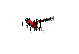 Cc1cc(C(=O)NCCOCCOCCCCCCCl)ccc1-c1c2cc/c(=[N+](/C)CCCS(=O)(=O)[O-])cc-2oc2cc(N(C)C)ccc12